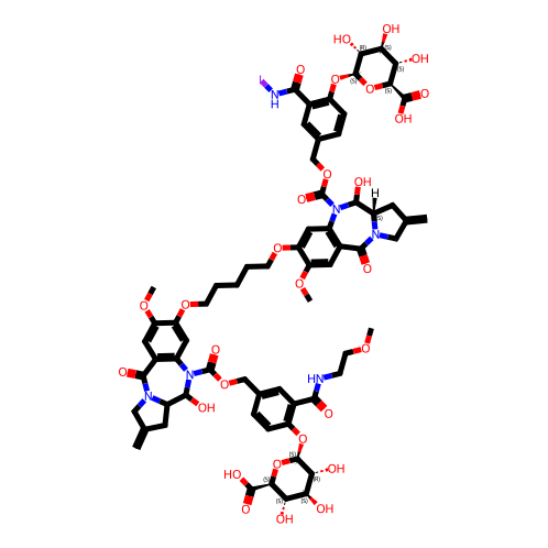 C=C1CC2C(O)N(C(=O)OCc3ccc(O[C@@H]4O[C@H](C(=O)O)[C@@H](O)[C@H](O)[C@H]4O)c(C(=O)NCCOC)c3)c3cc(OCCCCCOc4cc5c(cc4OC)C(=O)N4CC(=C)C[C@H]4C(O)N5C(=O)OCc4ccc(O[C@@H]5O[C@H](C(=O)O)[C@@H](O)[C@H](O)[C@H]5O)c(C(=O)NI)c4)c(OC)cc3C(=O)N2C1